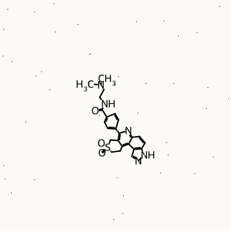 CN(C)CCNC(=O)c1ccc(-c2nc3ccc4[nH]ncc4c3c3c2CS(=O)(=O)CC3)cc1